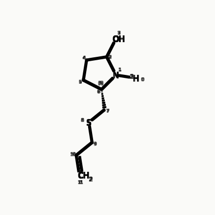 [2H]N1C(O)CC[C@H]1CSCC=C